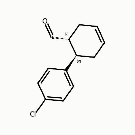 O=C[C@@H]1CC=CC[C@H]1c1ccc(Cl)cc1